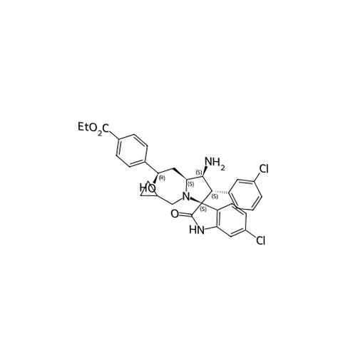 CCOC(=O)c1ccc([C@H](O)C[C@H]2[C@@H](N)[C@H](c3cccc(Cl)c3)[C@]3(C(=O)Nc4cc(Cl)ccc43)N2CC2CC2)cc1